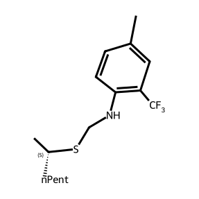 CCCCC[C@H](C)SCNc1ccc(C)cc1C(F)(F)F